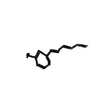 [CH]=CC=CC=Cc1cccc(F)c1